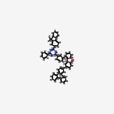 CC1(C)c2ccccc2-c2ccc(-c3nc(-c4ccccc4)nc(-c4cccc(-c5cccc6oc7ccc(-c8ccc9c%10ccccc%10c%10ccccc%10c9c8)cc7c56)c4)n3)cc21